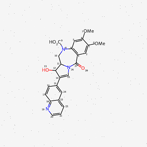 COc1cc2c(cc1OC)N(C(=O)O)CC1C(O)C(c3ccc4ncccc4c3)=CN1C2=O